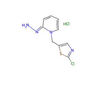 Cl.NN=c1ccccn1Cc1cnc(Cl)s1